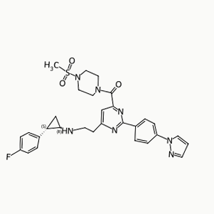 CS(=O)(=O)N1CCN(C(=O)c2cc(CCN[C@@H]3C[C@H]3c3ccc(F)cc3)nc(-c3ccc(-n4cccn4)cc3)n2)CC1